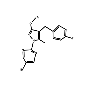 CCc1cnc(-n2nc(OC(C)C)c(Cc3ccc(F)cc3)c2C)nc1